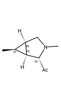 CC(=O)[C@@H]1[C@H]2[C@@H](C)[C@H]2CN1C